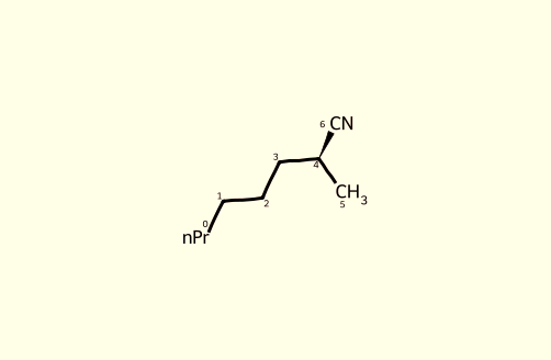 CCCCCC[C@H](C)C#N